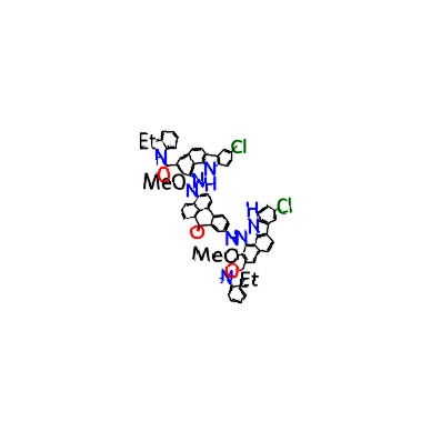 CCc1ccccc1N(C)OCc1cc2ccc3c4cc(Cl)ccc4[nH]c3c2c(N=Nc2ccc3c(c2)C(=O)c2cccc4c(N=Nc5c(OC)c(C(=O)N(C)c6ccccc6CC)cc6ccc7c8cc(Cl)ccc8[nH]c7c56)ccc-3c24)c1OC